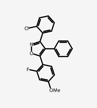 COc1ccc(-c2onc(-c3ccccc3Cl)c2-c2ccccc2)c(F)c1